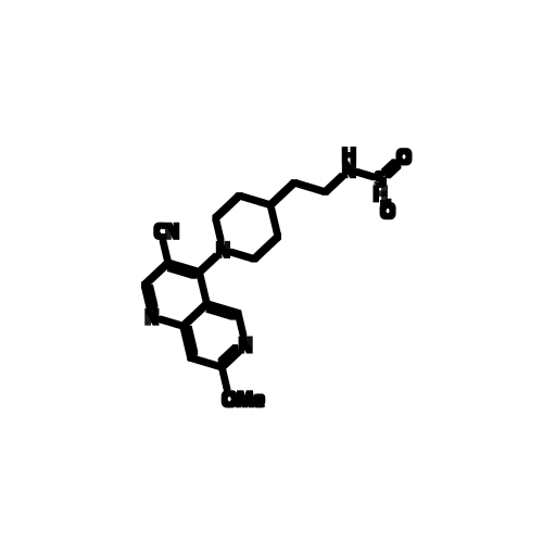 COc1cc2ncc(C#N)c(N3CCC(CCN[SH](=O)=O)CC3)c2cn1